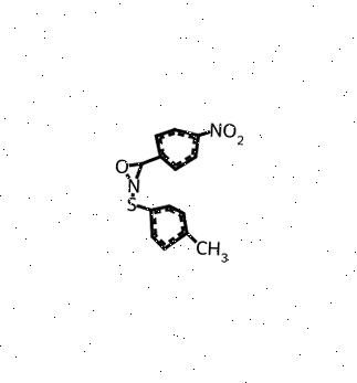 Cc1ccc(SN2OC2c2ccc([N+](=O)[O-])cc2)cc1